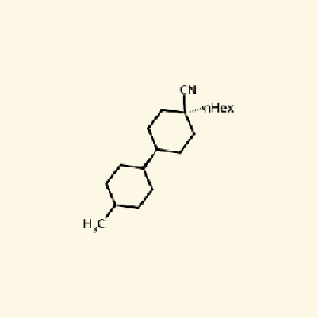 CCCCCC[C@]1(C#N)CC[C@@H](C2CCC(C)CC2)CC1